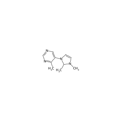 Cc1ncncc1N1C=CN(C)C1C